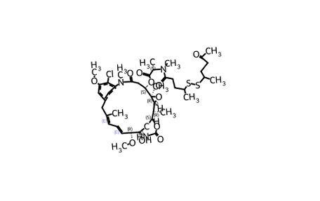 COc1cc2cc(c1Cl)N(C)C(=O)C[C@H](OC(=O)[C@H](C)N(C)C(=O)CCC(C)SSC(C)CCC(C)=O)[C@@]1(C)O[C@H]1[C@H](C)[C@@H]1C[C@@](O)(NC(=O)O1)[C@H](OC)/C=C/C=C(\C)C2